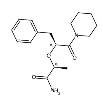 C[C@H](O[C@@H](Cc1ccccc1)C(=O)N1CCCCC1)C(N)=O